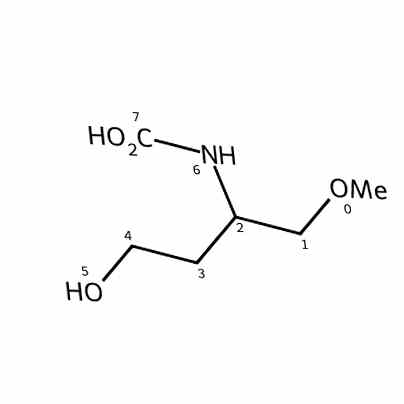 COCC(CCO)NC(=O)O